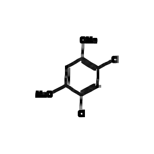 COc1cc(OC)c(Cl)[c]c1Cl